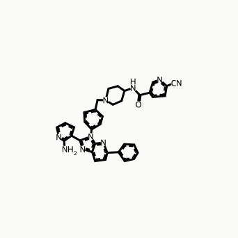 N#Cc1ccc(C(=O)NC2CCN(Cc3ccc(-n4c(-c5cccnc5N)nc5ccc(-c6ccccc6)nc54)cc3)CC2)cn1